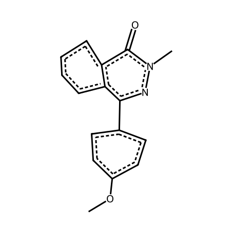 COc1ccc(-c2nn(C)c(=O)c3ccccc23)cc1